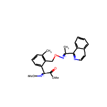 CO/N=C(/C(=O)OC)c1cccc(C)c1CO/N=C(\C)c1nccc2ccccc12